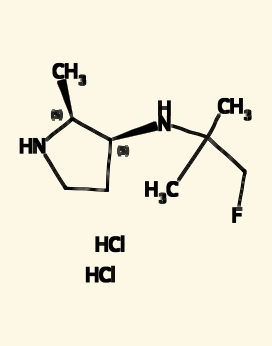 C[C@@H]1NCC[C@@H]1NC(C)(C)CF.Cl.Cl